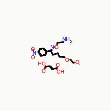 COCCOCCCCC(=NOCCN)c1ccc([N+](=O)[O-])cc1.O=C(O)/C=C/C(=O)O